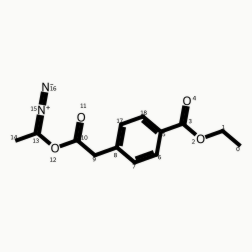 CCOC(=O)c1ccc(CC(=O)OC(C)=[N+]=[N-])cc1